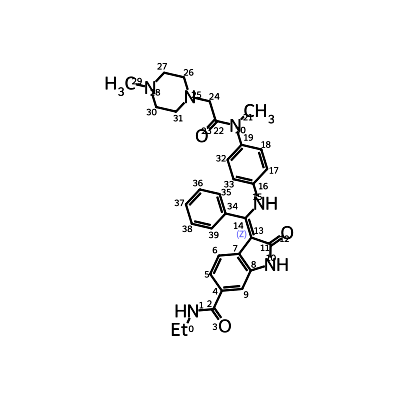 CCNC(=O)c1ccc2c(c1)NC(=O)/C2=C(\Nc1ccc(N(C)C(=O)CN2CCN(C)CC2)cc1)c1ccccc1